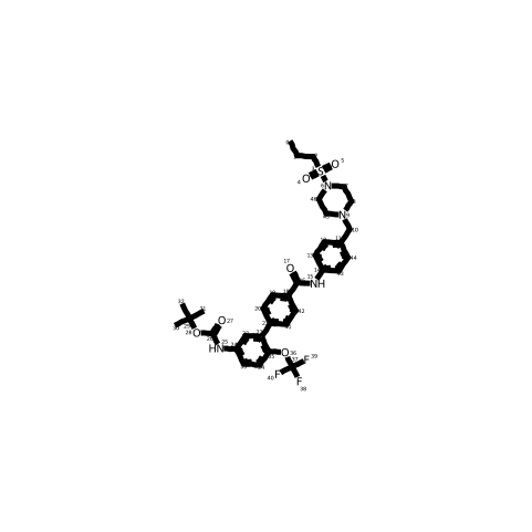 CCCS(=O)(=O)N1CCN(Cc2ccc(NC(=O)c3ccc(-c4cc(NC(=O)OC(C)(C)C)ccc4OC(F)(F)F)cc3)cc2)CC1